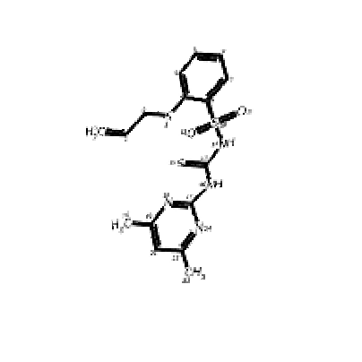 C=CCSc1ccccc1S(=O)(=O)NC(=S)Nc1nc(C)cc(C)n1